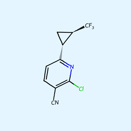 N#Cc1ccc([C@@H]2C[C@H]2C(F)(F)F)nc1Cl